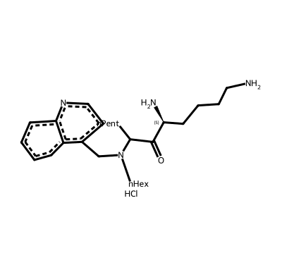 CCCCCCN(Cc1ccnc2ccccc12)C(CCCCC)C(=O)[C@@H](N)CCCCN.Cl